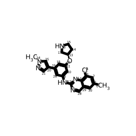 Cc1cc(Cl)c2nc(Nc3cc(O[C@@H]4CCNC4)cc(-c4cnn(C)c4)c3)ncc2c1